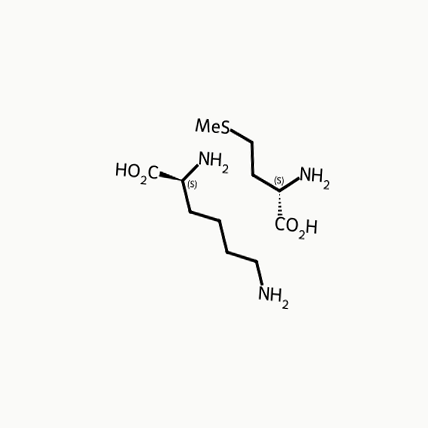 CSCC[C@H](N)C(=O)O.NCCCC[C@H](N)C(=O)O